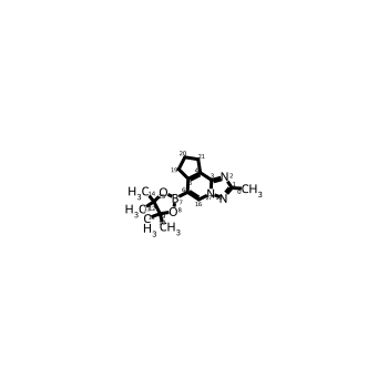 Cc1nc2c3c(c(B4OC(C)(C)C(C)(C)O4)cn2n1)CCC3